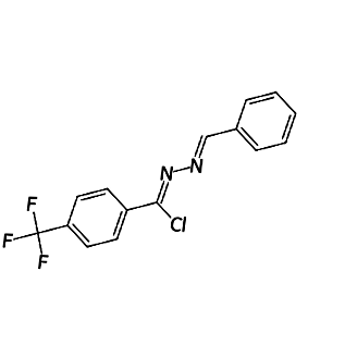 FC(F)(F)c1ccc(/C(Cl)=N/N=C/c2ccccc2)cc1